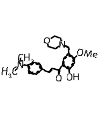 COc1cc(O)c(C(=O)/C=C/c2ccc(N(C)C)cc2)cc1CN1CCOCC1